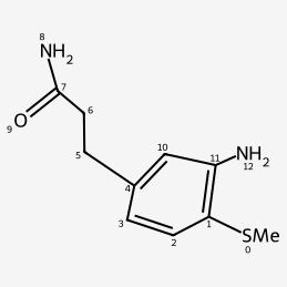 CSc1ccc(CCC(N)=O)cc1N